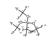 FC(F)(F)O[Si](OC(F)(F)F)(OC(F)(F)F)C(F)(F)F